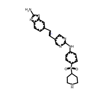 Nc1nc2ccc(/C=C/c3cnc(Nc4ccc(S(=O)(=O)C5CCNCC5)cc4)nc3)cc2s1